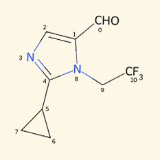 O=Cc1cnc(C2CC2)n1CC(F)(F)F